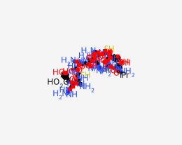 CC[C@H](C)[C@H](NC(=O)[C@@H]1C[C@@H](O)CN1C(=O)[C@@H](N)C(C)C)C(=O)N[C@H](C(=O)N[C@@H](Cc1ccc(O)cc1)C(=O)N[C@H](C(=O)N[C@@H](CC(N)=O)C(=O)N[C@@H](CCCNC(=N)N)C(=O)N[C@@H](CCN)C(=O)N[C@H](C(=O)N[C@H](CCN)C(=O)N[C@@H](CO)C(=O)N[C@@H](CS)C(=O)N[C@@H](CCN)C(=O)N[C@@H](CCCNC(=N)N)C(=O)N[C@@H](Cc1ccc(O)cc1)C(=O)O)[C@@H](C)O)C(C)(C)S)[C@@H](C)O